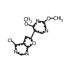 COc1ncc(-c2cc3c(Cl)ncnc3o2)c(OC)n1